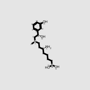 CN(CC[C@H](N)CCCCB(O)O)C[C@@H](O)c1cccc(O)c1